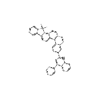 CC1(C)c2ccccc2-c2ccc3c(ccc4ccc5cc(-c6nc(-c7ccccc7)c7ccccc7n6)ccc5c43)c21